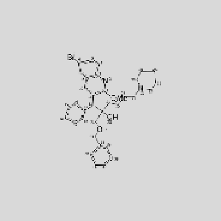 COc1nc2ccc(Br)cc2cc1C(c1ccccc1)C(O)(CCCCN1CCCCC1)COCc1ccccc1